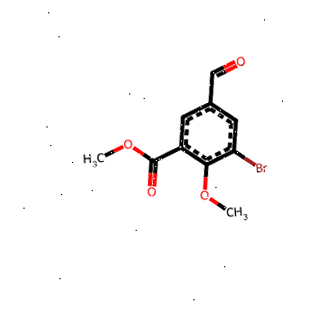 COC(=O)c1cc(C=O)cc(Br)c1OC